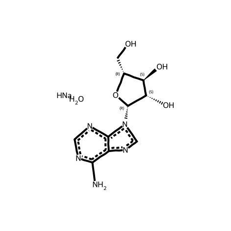 Nc1ncnc2c1ncn2[C@@H]1O[C@H](CO)[C@@H](O)[C@@H]1O.O.[NaH]